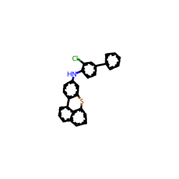 Clc1cc(-c2ccccc2)ccc1Nc1ccc2c(c1)Sc1cccc3cccc-2c13